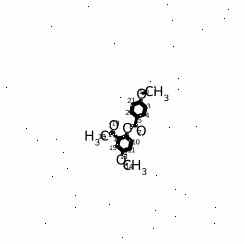 COc1ccc(C(=O)Oc2ccc(OC)cc2C(C)=O)cc1